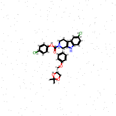 CC1(C)OC[C@@H](COc2ccc([C@H]3c4[nH]c5ccc(Cl)cc5c4CCN3C(=O)Oc3ccc(Cl)cc3)cc2)O1